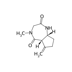 C=C1CC[C@H]2NC(=O)CN(C)C(=O)[C@@H]12